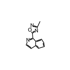 Cc1noc(-c2nccc3ccccc23)n1